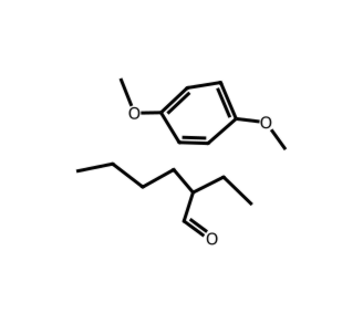 CCCCC(C=O)CC.COc1ccc(OC)cc1